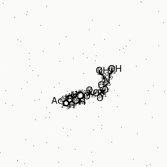 CC(=O)[C@H]1CC[C@H]2[C@@H]3CC[C@H]4C[C@](C)(OC(=O)COC(=O)C(C)(C)OC(=O)CN(CCCO)CCCO)CC[C@]4(C)[C@H]3CC[C@]12C